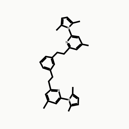 Cc1cc(CCc2cccc(CCc3cc(C)cc(-n4c(C)ccc4C)n3)c2)nc(-n2c(C)ccc2C)c1